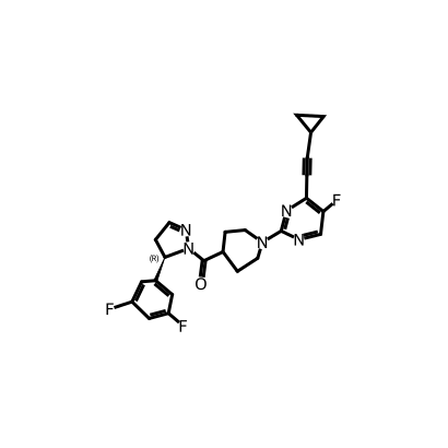 O=C(C1CCN(c2ncc(F)c(C#CC3CC3)n2)CC1)N1N=CC[C@@H]1c1cc(F)cc(F)c1